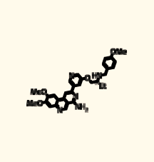 CC[C@H](COc1cncc(-c2cc3c(cnc4cc(OC)c(OC)cc43)c(N)n2)c1)NCc1ccc(OC)cc1